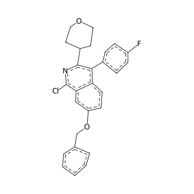 Fc1ccc(-c2c(C3CCOCC3)nc(Cl)c3cc(OCc4ccccc4)ccc23)cc1